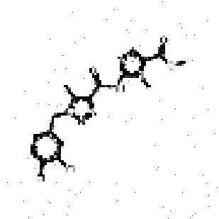 COC(=O)c1cnc(NC(=O)c2nnn(Cc3ccc(Cl)c(Cl)c3)c2C)n1C